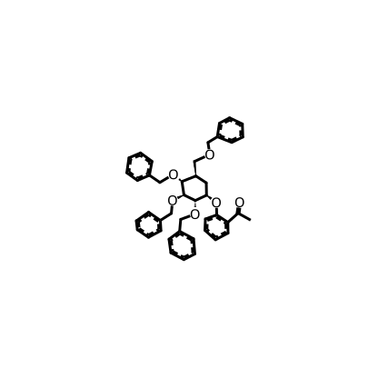 CC(=O)c1ccccc1O[C@@H]1C[C@H](COCc2ccccc2)[C@@H](OCc2ccccc2)[C@H](OCc2ccccc2)[C@H]1OCc1ccccc1